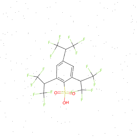 O=S(=O)(O)c1c(C(C(F)(F)F)C(F)(F)F)cc(C(C(F)(F)F)C(F)(F)F)cc1C(C(F)(F)F)C(F)(F)F